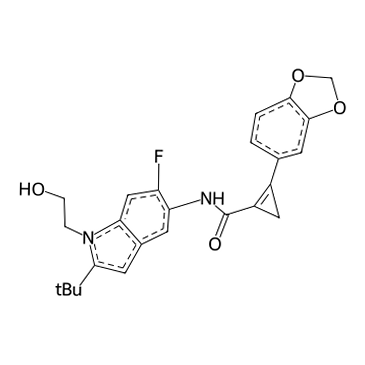 CC(C)(C)c1cc2cc(NC(=O)C3=C(c4ccc5c(c4)OCO5)C3)c(F)cc2n1CCO